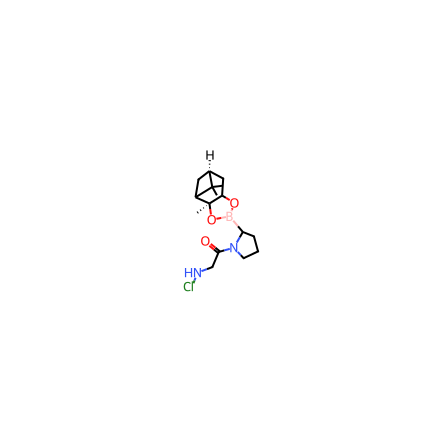 CC1(C)C2C[C@H]1CC1OB(C3CCCN3C(=O)CNCl)O[C@]12C